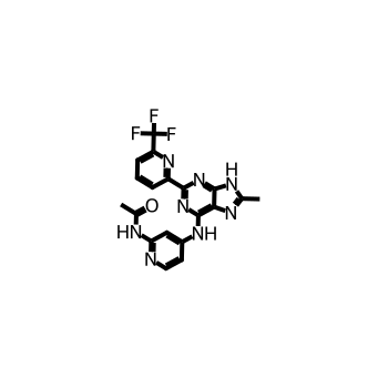 CC(=O)Nc1cc(Nc2nc(-c3cccc(C(F)(F)F)n3)nc3[nH]c(C)nc23)ccn1